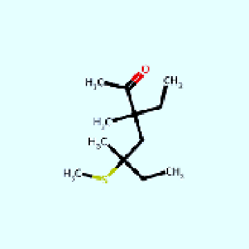 CCC(C)(CC(C)(CC)C(C)=O)SC